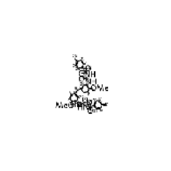 COc1ccc(Cc2ccc(OC)c(NC(=O)NS(=O)(=O)c3ccc(C)cc3)c2)cc1NC(=O)NS(=O)(=O)c1ccc(C)cc1